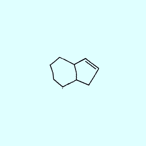 [CH]1CCCC2C=CCC12